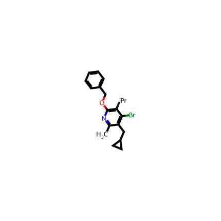 Cc1nc(OCc2ccccc2)c(C(C)C)c(Br)c1CC1CC1